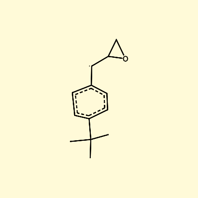 CC(C)(C)c1ccc([CH]C2CO2)cc1